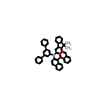 CC1(C)c2ccccc2-c2cc(N(c3cc(-c4ccccc4)cc(-c4ccccc4)c3)c3ccc4ccccc4c3-c3cccc4ccccc34)ccc21